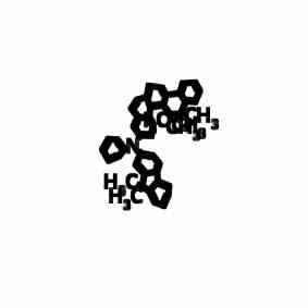 CC1(C)c2ccccc2-c2ccc(N(c3ccccc3)c3ccc4c(ccc5ccc6c(c54)C(C)(C)C(C)(C)c4ccccc4-6)c3)cc21